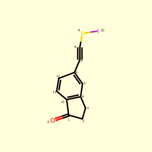 O=C1CCc2cc(C#CSI)ccc21